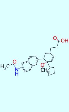 COC1(C2CCCC2)C=CC(CCC(=O)O)=CC1c1ccc2cc(NC(C)=O)ccc2c1